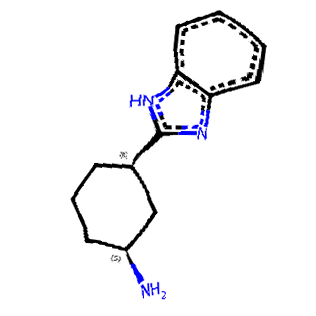 N[C@H]1CCC[C@@H](c2nc3ccccc3[nH]2)C1